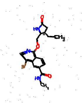 CC[C@@H]1CC(=O)NC1COc1ncc(Br)c2cc(C(=O)NC)ccc12